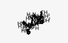 CSCC[C@@H](NC(=O)[C@H](CCCNC(=N)N)NC(=O)[C@H](Cc1ccc(O)cc1)NC(=O)CNC(=O)[C@H](CCCNC(=N)N)NC(=O)[C@H](Cc1c[nH]c2ccccc12)NC(=O)[C@H](N)Cc1c[nH]cn1)C(N)=O